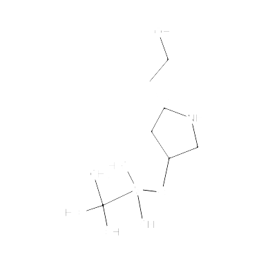 CC(C)(C)[Si](C)(C)OC1CN[C@@H](CCO)C1